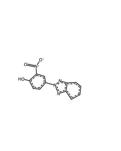 O=[N+]([O-])c1cc(-n2nc3ccccc3n2)ccc1O